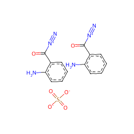 N#[N+]C(=O)c1ccccc1N.N#[N+]C(=O)c1ccccc1N.O=S(=O)([O-])[O-]